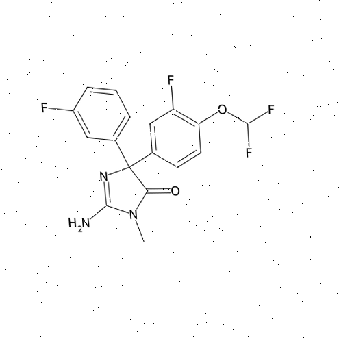 CN1C(=O)C(c2cccc(F)c2)(c2ccc(OC(F)F)c(F)c2)N=C1N